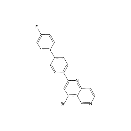 Fc1ccc(-c2ccc(-c3cc(Br)c4cnccc4n3)cc2)cc1